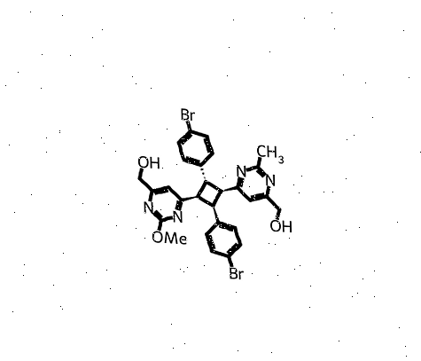 COc1nc(CO)cc([C@H]2[C@H](c3ccc(Br)cc3)[C@@H](c3cc(CO)nc(C)n3)[C@H]2c2ccc(Br)cc2)n1